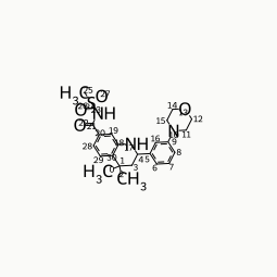 CC1(C)CC(c2cccc(N3CCOCC3)c2)Nc2cc(C(=O)NS(C)(=O)=O)ccc21